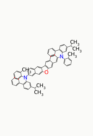 Cc1ccccc1N(c1ccc2cc3c(cc2c1)oc1cc2cc(N(c4ccccc4C)c4cc(C(C)C)ccc4-c4ccccc4)ccc2cc13)c1cc(C(C)C)ccc1-c1ccccc1